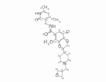 Cc1cc(C)c(CNC(=O)c2cc(Cl)c3c(c2C)OC(C2CCN(CC4COC4)CC2)CO3)c(=O)[nH]1